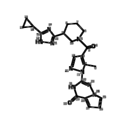 Cc1c(C(=O)N2CCCC(c3n[nH]c(C4CC4)n3)C2)cnn1-c1nn2cccc2c(=O)[nH]1